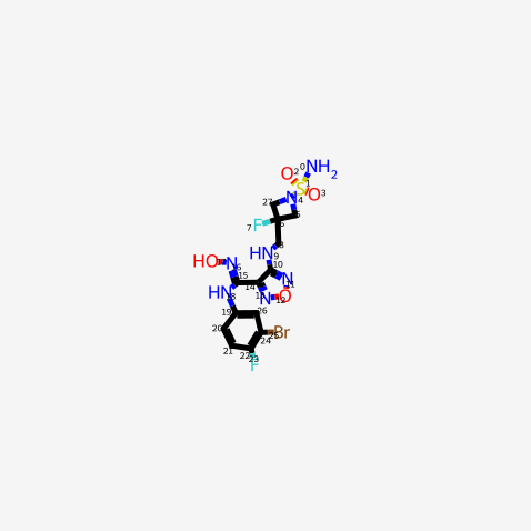 NS(=O)(=O)N1CC(F)(CNc2nonc2/C(=N/O)Nc2ccc(F)c(Br)c2)C1